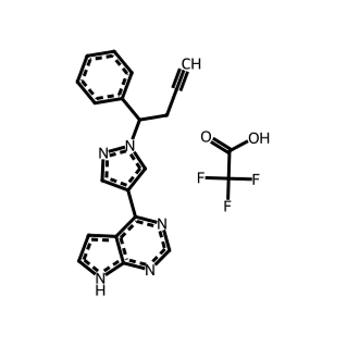 C#CCC(c1ccccc1)n1cc(-c2ncnc3[nH]ccc23)cn1.O=C(O)C(F)(F)F